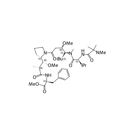 CC[C@H](C)[C@@H]([C@@H](CC(=O)N1CCC[C@H]1[C@H](OC)[C@@H](C)C(=O)N[C@@H](Cc1ccccc1)C(=O)OC)OC)N(C)C(=O)[C@@H](NC(=O)C(C)(C)NC)C(C)C